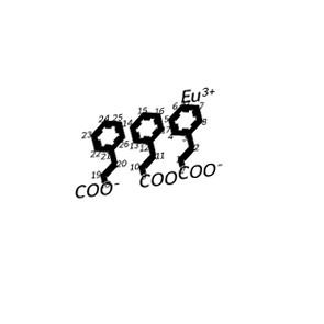 O=C([O-])C=Cc1ccccc1.O=C([O-])C=Cc1ccccc1.O=C([O-])C=Cc1ccccc1.[Eu+3]